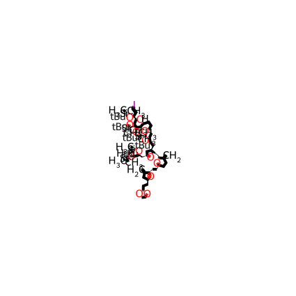 C=C1C[C@H](CCC2OCCO2)O[C@H]1CC[C@H]1CCC(=C)[C@@H](C[C@@H]2O[C@H](C[C@@H](CO[Si](C)(C)C(C)(C)C)O[Si](C)(C)C(C)(C)C)C[C@H]2CC2OC2C[C@H]2CC[C@@H]3O[C@H](C(/C=C/I)O[Si](C)(C)C(C)(C)C)C(O[Si](C)(C)C(C)(C)C)C(O[Si](C)(C)C(C)(C)C)C3O2)O1